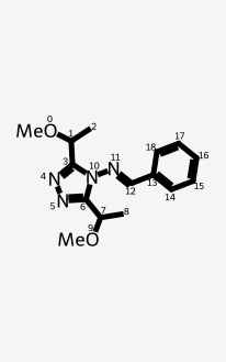 COC(C)c1nnc(C(C)OC)n1N=Cc1ccccc1